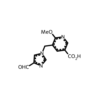 COc1ncc(C(=O)O)cc1Cn1cnc(C=O)c1